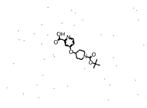 CC(C)(C)OC(=O)N1CCC(Oc2ccnc(C(=O)O)c2)CC1